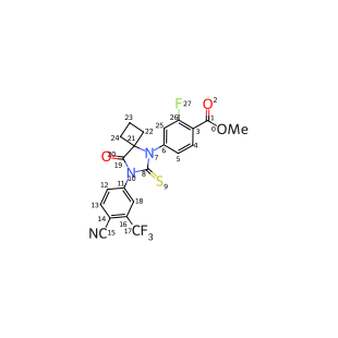 COC(=O)c1ccc(N2C(=S)N(c3ccc(C#N)c(C(F)(F)F)c3)C(=O)C23CCC3)cc1F